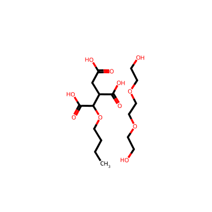 CCCCOC(C(=O)O)C(CC(=O)O)C(=O)O.OCCOCCOCCO